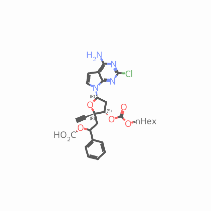 C#C[C@@]1(CC(OC(=O)O)c2ccccc2)O[C@@H](n2ccc3c(N)nc(Cl)nc32)C[C@@H]1OC(=O)OCCCCCC